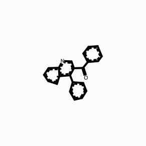 O=C(c1ccccc1)c1cnc2ccccc2c1-c1ccccc1